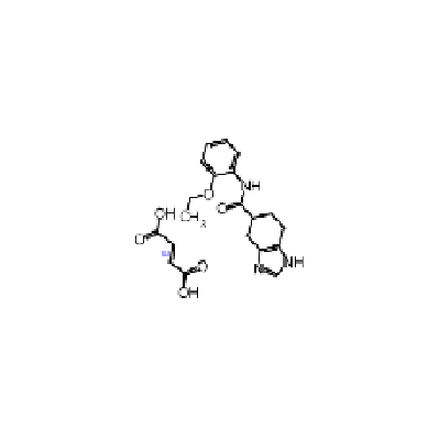 CCOc1ccccc1NC(=O)C1CCc2[nH]cnc2C1.O=C(O)/C=C/C(=O)O